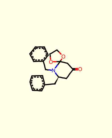 O=C1C[C@@H](Cc2ccccc2)N(Cc2ccccc2)C2(C1)OCCO2